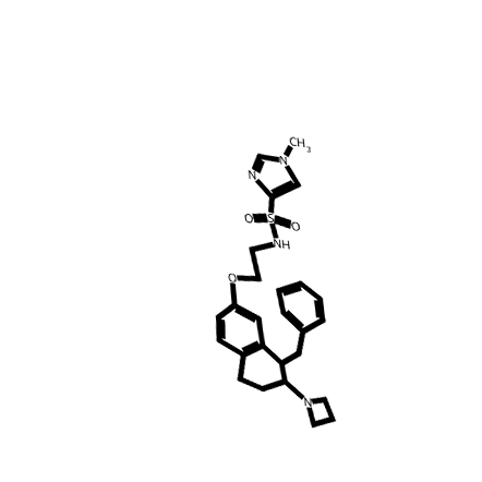 Cn1cnc(S(=O)(=O)NCCOc2ccc3c(c2)C(Cc2ccccc2)C(N2CCC2)CC3)c1